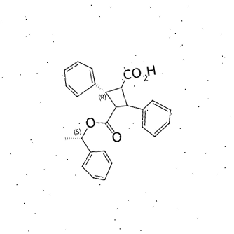 C[C@H](OC(=O)C1C(c2ccccc2)C(C(=O)O)[C@H]1c1ccccc1)c1ccccc1